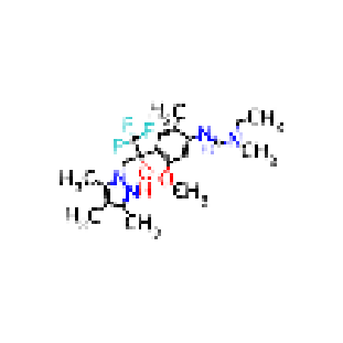 CCN(C)/C=N/c1cc(OC)c(C(O)(Cn2nc(C)c(C)c2C)C(F)(F)F)cc1C